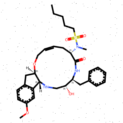 CCCCCS(=O)(=O)N(C)[C@H]1CC=CCO[C@@H]2Cc3ccc(OC)cc3[C@H]2NC[C@@H](O)[C@H](Cc2ccccc2)NC1=O